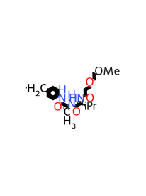 [CH2]c1ccc(NC(=O)[C@H](C)NC(=O)[C@@H](NC(=O)CCOCCOC)C(C)C)cc1